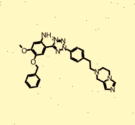 COc1cc(N)c(-c2nnn(-c3ccc(CCN4CCn5cncc5C4)cc3)n2)cc1OCc1ccccc1